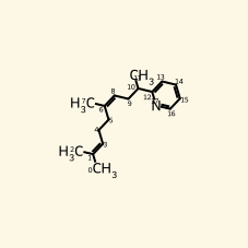 CC(C)=CCCC(C)=CCC(C)c1ccccn1